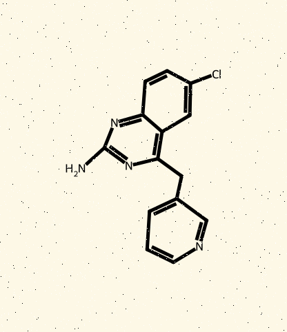 Nc1nc(Cc2cccnc2)c2cc(Cl)ccc2n1